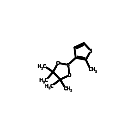 Cc1sccc1B1OC(C)(C)C(C)(C)O1